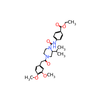 CCOC(=O)c1ccc(NC(=O)N2CCN(C(=O)Cc3ccc(OC)c(OC)c3)CC2C(C)C)cc1